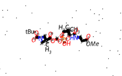 COC(=O)CCNC(=O)[C@@H]1O[P](O)(OCOC(=O)C2(C)CN(C(=O)OC(C)(C)C)C2)OCC1(C)C